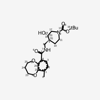 Cc1ccc(C(=O)NC[C@@H]2CCN(C(=O)OC(C)(C)C)C[C@H]2O)c2c1OCCCO2